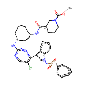 CC(C)(C)OC(=O)N1CCC[C@@H](C(=O)NC2CCC[C@@H](Nc3ncc(Cl)c(-c4cn(S(=O)(=O)c5ccccc5)c5ccccc45)n3)C2)C1